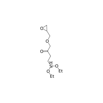 CCO[SiH](CCC(=O)COCC1CO1)OCC